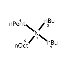 CCCCCCCC[N+](CCCC)(CCCC)CCCCC